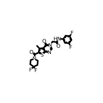 Cc1c(C(=O)N2CCC(F)(F)CC2)sc2ncn(CC(=O)Nc3cc(F)cc(F)c3)c(=O)c12